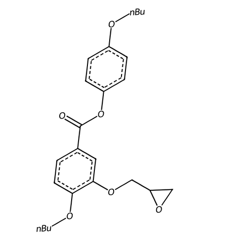 CCCCOc1ccc(OC(=O)c2ccc(OCCCC)c(OCC3CO3)c2)cc1